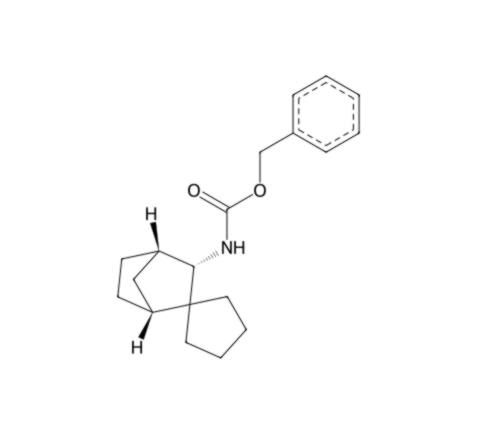 O=C(N[C@H]1[C@H]2CC[C@H](C2)C12CCCC2)OCc1ccccc1